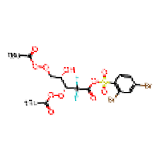 CC(C)(C)C(=O)OOC[C@H](O)[C@@H](OOC(=O)C(C)(C)C)C(F)(F)C(=O)OS(=O)(=O)c1ccc(Br)cc1Br